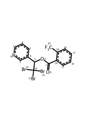 O=C(OC(c1cccnc1)C(Br)(Br)Br)c1ccccc1C(F)(F)F